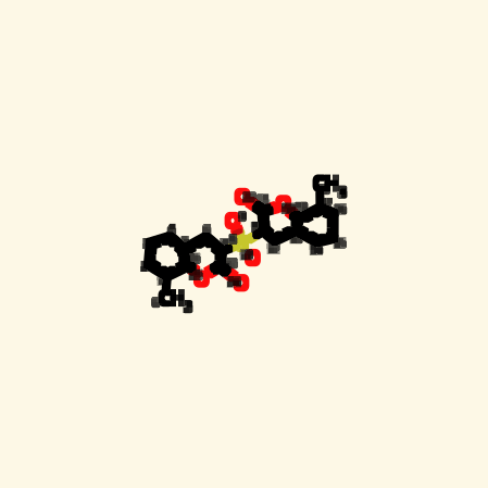 Cc1cccc2cc(S(=O)(=O)c3cc4cccc(C)c4oc3=O)c(=O)oc12